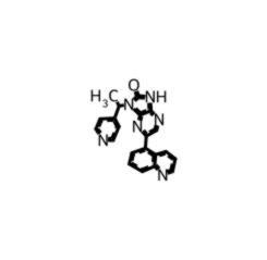 CC(c1ccncc1)n1c(=O)[nH]c2ncc(-c3cccc4ncccc34)nc21